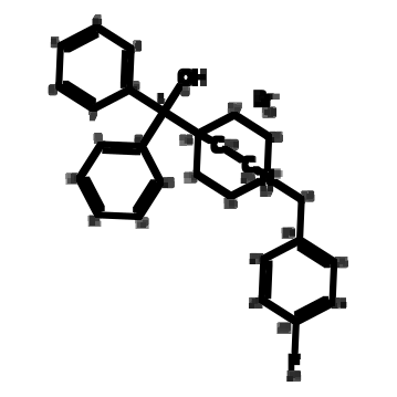 OC(c1ccccc1)(c1ccccc1)C12CC[N+](Cc3ccc(F)cc3)(CC1)CC2.[Br-]